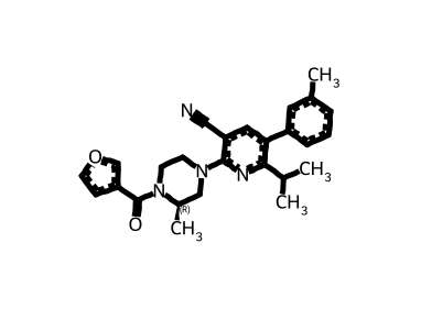 Cc1cccc(-c2cc(C#N)c(N3CCN(C(=O)c4ccoc4)[C@H](C)C3)nc2C(C)C)c1